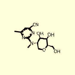 Cc1cc(C#N)nc(N(C)[C@H]2CO[C@H](CO)[C@H](O)[C@@H]2O)n1